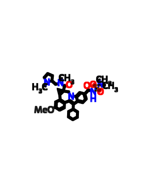 COc1ccc2c(c1)C1CC1(C(=O)N(C)CC1CCCN1C)Cn1c-2c(C2CCCCC2)c2ccc(C(=O)NS(=O)(=O)N(C)C)cc21